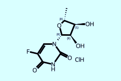 C[C@H]1O[C@@H](n2cc(F)c(=O)[nH]c2=O)[C@H](O)[C@@H]1O.Cl